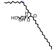 CCCCCCCC/C=C\CCCCCCC(C(=O)CCCCCCCCCCCCCCCCC)C(=O)POCC(O)CO